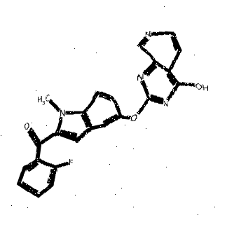 Cn1c(C(=O)c2ccccc2F)cc2cc(Oc3nc(O)c4ccncc4n3)ccc21